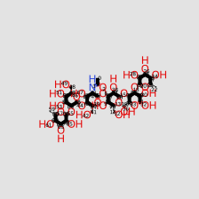 CC(=O)N[C@H]1[C@H](O[C@H]2[C@@H](O)[C@@H](CO)O[C@@H](O[C@H]3[C@H](O[C@@H]4O[C@@H](C)[C@@H](O)[C@@H](O)[C@@H]4O)[C@@H](O)C(O)O[C@@H]3CO)[C@@H]2O)O[C@H](CO)[C@@H](O[C@@H]2O[C@H](CO)[C@H](O)[C@H](O)[C@H]2O[C@@H]2O[C@@H](C)[C@@H](O)[C@@H](O)[C@@H]2O)[C@@H]1O